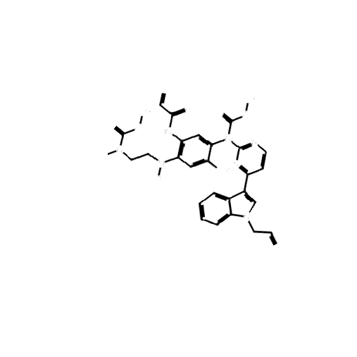 C=CCn1cc(-c2ccnc(N(C(=O)OC(C)(C)C)c3cc(NC(=O)C=C)c(N(C)CCN(C)C(=O)OC(C)(C)C)cc3OC)n2)c2ccccc21